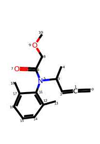 C=C=CC(C)N(C(=O)COC)c1c(C)cccc1C